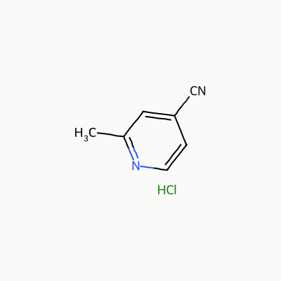 Cc1cc(C#N)ccn1.Cl